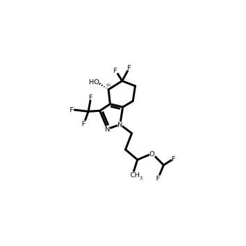 CC(CCn1nc(C(F)(F)F)c2c1CCC(F)(F)[C@H]2O)OC(F)F